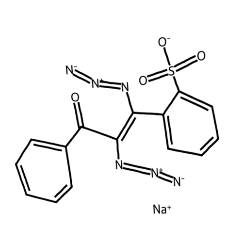 [N-]=[N+]=N/C(C(=O)c1ccccc1)=C(/N=[N+]=[N-])c1ccccc1S(=O)(=O)[O-].[Na+]